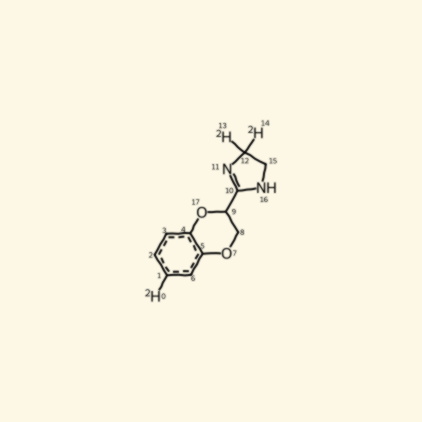 [2H]c1ccc2c(c1)OCC(C1=NC([2H])([2H])CN1)O2